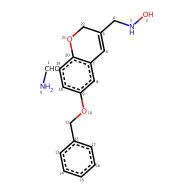 NC=O.ONCC1=Cc2cc(OCc3ccccc3)ccc2OC1